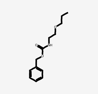 CCCOCCNC(=O)OCc1ccccc1